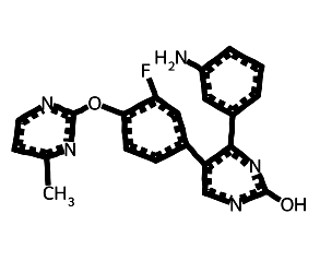 Cc1ccnc(Oc2ccc(-c3cnc(O)nc3-c3cccc(N)c3)cc2F)n1